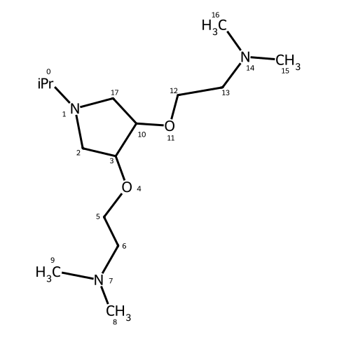 CC(C)N1CC(OCCN(C)C)C(OCCN(C)C)C1